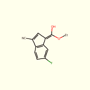 CCOC(O)=C1C=C(C#N)c2ccc(F)cc21